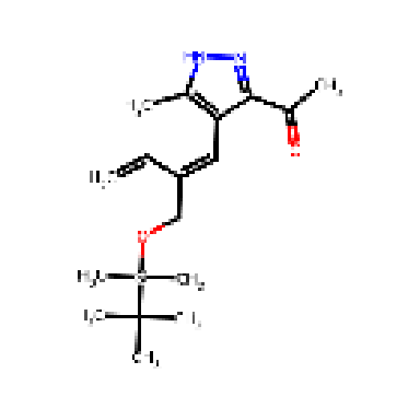 C=C/C(=C\c1c(C(C)=O)n[nH]c1C)CO[Si](C)(C)C(C)(C)C